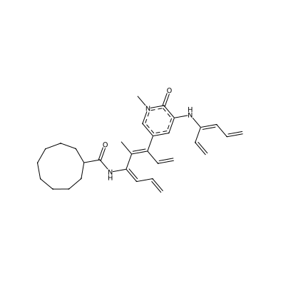 C=C/C=C(\C=C)Nc1cc(/C(C=C)=C(C)/C(=C\C=C)NC(=O)C2CCCCCCCC2)cn(C)c1=O